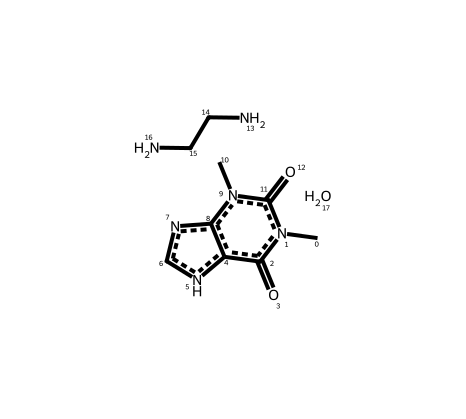 Cn1c(=O)c2[nH]cnc2n(C)c1=O.NCCN.O